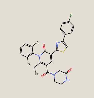 CCc1cccc(CC)c1-n1c(CC(C)C)c(C(=O)N2CCNC(=O)C2)cc(-c2nc(-c3ccc(Cl)cc3)cs2)c1=O